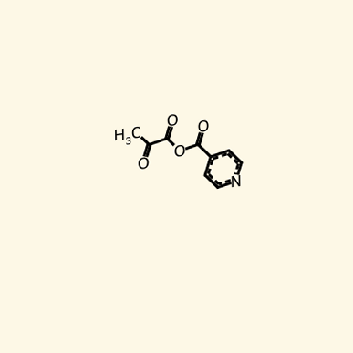 CC(=O)C(=O)OC(=O)c1ccncc1